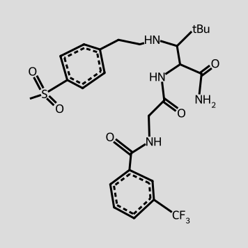 CC(C)(C)C(NCCc1ccc(S(C)(=O)=O)cc1)C(NC(=O)CNC(=O)c1cccc(C(F)(F)F)c1)C(N)=O